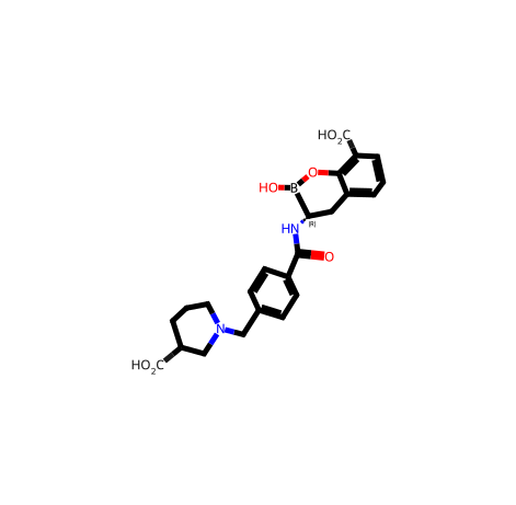 O=C(N[C@H]1Cc2cccc(C(=O)O)c2OB1O)c1ccc(CN2CCCC(C(=O)O)C2)cc1